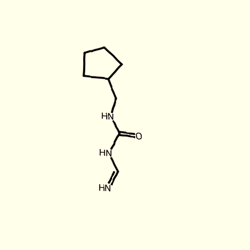 N=CNC(=O)NCC1CCCC1